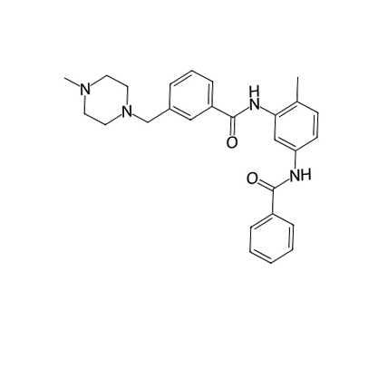 Cc1ccc(NC(=O)c2ccccc2)cc1NC(=O)c1cccc(CN2CCN(C)CC2)c1